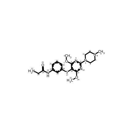 COc1nc(N2CCN(C)CC2)nc(OC)c1Sc1cccc(NC(=O)CN)c1